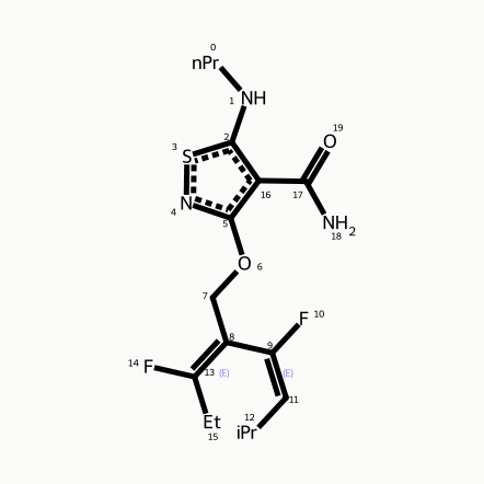 CCCNc1snc(OCC(/C(F)=C\C(C)C)=C(\F)CC)c1C(N)=O